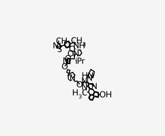 Cc1ncsc1-c1ccc([C@H](C)NC(=O)[C@@H]2CCCN2C(=O)[C@@H](c2cc(OC3CC4(CCN(CCOc5nc(N6CC7CCC(C6)N7)c6cnc7c(c6n5)C(C)c5cccc6cc(O)cc-7c56)CC4)C3)no2)C(C)C)cc1